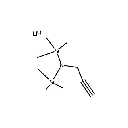 C#CCN([Si](C)(C)C)[Si](C)(C)C.[LiH]